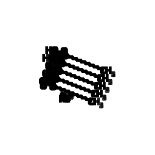 CCCCCCCCCCCCCCCCCCOC(=O)/C=C/C(=O)O.CCCCCCCCCCCCCCCCCCOC(=O)/C=C/C(=O)O.CCCCCCCCCCCCCCCCCCOC(=O)/C=C/C(=O)[O-].CCCCCCCCCCCCCCCCCCOC(=O)/C=C/C(=O)[O-].CCCCCCCCCCCCCCCCCCOC(=O)/C=C/C(=O)[O-].[Na+].[Na+].[Na+]